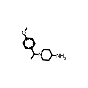 COc1ccc(C(C)N2CCC(N)CC2)cc1